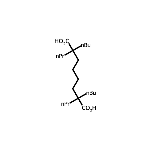 CCCCC(CCC)(CCCCC(CCC)(CCCC)C(=O)O)C(=O)O